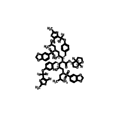 [2H]c1sc(C)nc1C([2H])([2H])Oc1ccc(C[C@@H]([C@H](O)CN(CC(C)C)S(=O)(=O)c2ccc3c(c2)OCO3)N(C(=O)O[C@H]2CO[C@H]3OCC[C@H]32)[C@@H](Cc2ccc(OC([2H])([2H])c3nc(C)sc3[2H])cc2)[C@H](O)CN(CC(C)C)S(=O)(=O)c2ccc3c(c2)OCO3)cc1